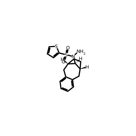 NN([C@H]1[C@@H]2CC[C@H]1Cc1ccccc1C2)S(=O)(=O)c1cccs1